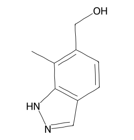 Cc1c(CO)ccc2cn[nH]c12